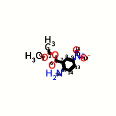 COC(C)OC(=O)c1cc([N+](=O)[O-])ccc1N